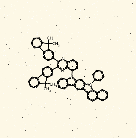 CC1(C)c2ccccc2-c2ccc(-c3nc4cccc(-n5c6ccccc6c6cc7c8ccc9ccccc9c8n(-c8ccccc8)c7cc65)c4nc3-c3ccc4c(c3)C(C)(C)c3ccccc3-4)cc21